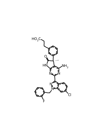 C[C@@]1(c2cccc(CCC(=O)O)c2)C(=O)Nc2nc(-c3nn(Cc4ccccc4F)c4cc(Cl)ccc34)nc(N)c21